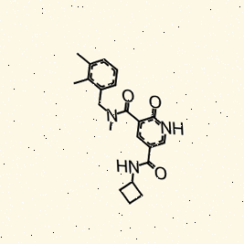 Cc1cccc(CN(C)C(=O)c2cc(C(=O)NC3CCC3)c[nH]c2=O)c1C